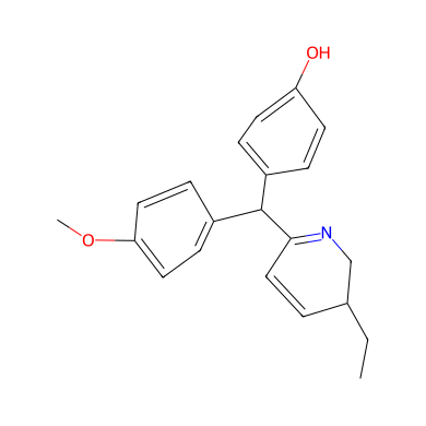 CCC1C=CC(C(c2ccc(O)cc2)c2ccc(OC)cc2)=NC1